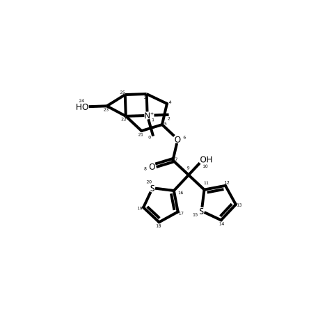 C[N+]1(C)C2CC(OC(=O)C(O)(c3cccs3)c3cccs3)CC13C(O)C23